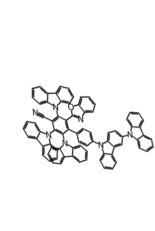 N#Cc1c(-n2c3ccccc3c3ccccc32)c(-c2nc3ccccc3o2)c(-c2ccc(-n3c4ccccc4c4cc(-n5c6ccccc6c6ccccc65)ccc43)cc2)c(-n2c3ccccc3c3ccccc32)c1-n1c2ccccc2c2ccccc21